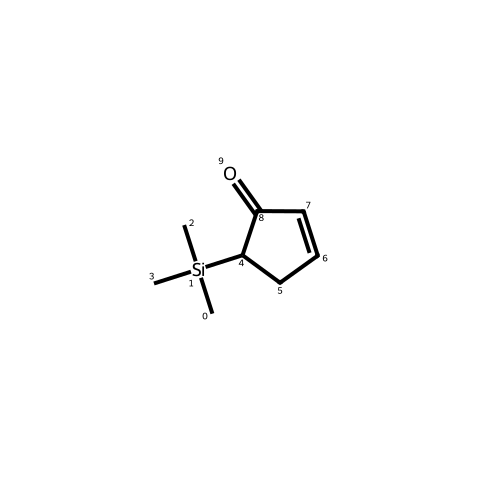 C[Si](C)(C)C1CC=CC1=O